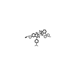 C#CCOc1ccc2nc(-c3nc4c(C(=O)OCC)cccc4n3C)nc(-c3ccc(C(C)C)cc3)c2c1